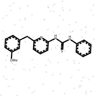 COc1cccc(Cc2cccc(NC(=S)Nc3ccccc3)n2)c1